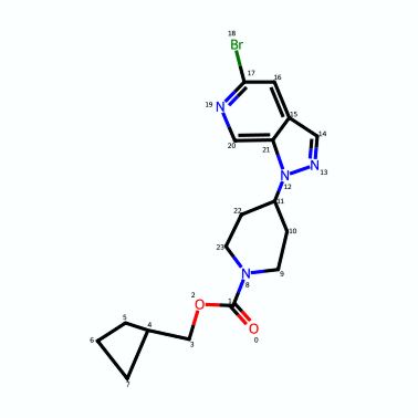 O=C(OCC1CCC1)N1CCC(n2ncc3cc(Br)ncc32)CC1